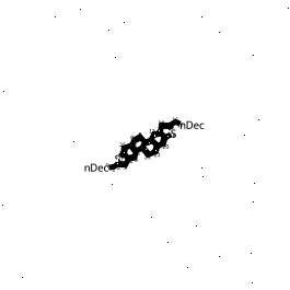 CCCCCCCCCCCc1cc2cc3c(ccc4c5cc6cc(CCCCCCCCCCC)sc6cc5ccc34)cc2s1